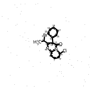 CC(Br)c1nc2cccc(Cl)n2c(=O)c1-c1ccccc1